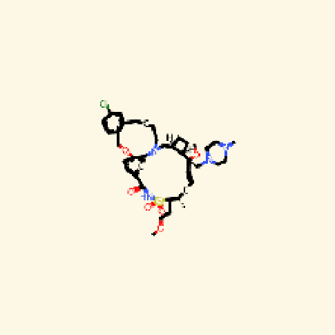 COCCC1[C@@H](C)C/C=C/[C@@](CN2CCN(C)CC2)(OC)[C@@H]2CC[C@H]2CN2CCCCc3cc(Cl)ccc3COc3ccc(cc32)C(=O)NS1(=O)=O